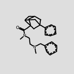 CN(CCN(C)C(=O)C12CC3CC1CC(c1ccccc1)(C3)C2)Cc1ccccc1